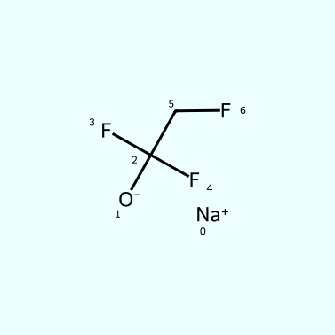 [Na+].[O-]C(F)(F)CF